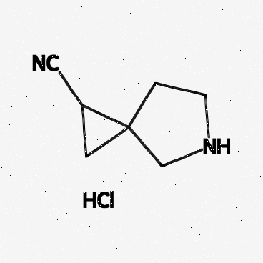 Cl.N#CC1CC12CCNC2